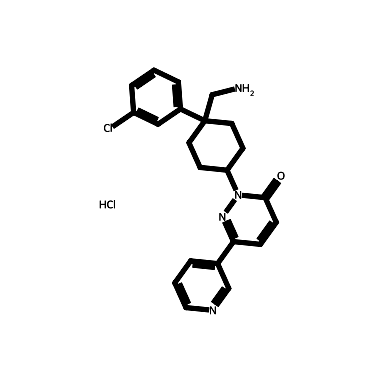 Cl.NCC1(c2cccc(Cl)c2)CCC(n2nc(-c3cccnc3)ccc2=O)CC1